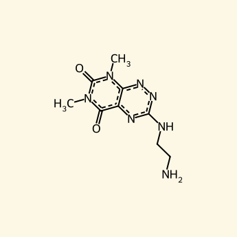 Cn1c(=O)c2nc(NCCN)nnc2n(C)c1=O